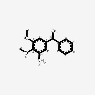 COc1cc(C(=O)c2ccccc2)cc(N)c1OC